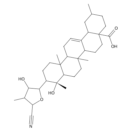 CC1CCC2(C(=O)O)CCC3C(=CCC4C3(C)CCC3C4(C)CCC(C4OC(C#N)C(C)C4O)[C@@]3(C)O)C2C1